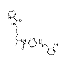 CC(CCCCNC(=O)c1ccccn1)NC(=O)c1ccc(NN=Cc2ccccc2S)nc1